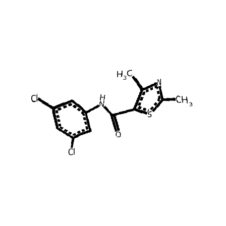 Cc1nc(C)c(C(=O)Nc2cc(Cl)cc(Cl)c2)s1